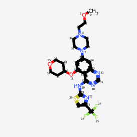 COCCN1CCN(c2cc(OC3CCOCC3)c3c(Nc4nc(C(F)(F)F)cs4)ncnc3c2)CC1